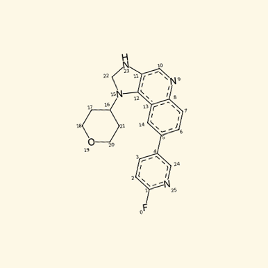 Fc1ccc(-c2ccc3ncc4c(c3c2)N(C2CCOCC2)CN4)cn1